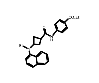 CCOC(=O)c1ccc(NC(=O)C2CC(N(CC)c3cccc4ccccc34)C2)cc1